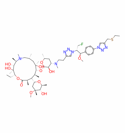 CCSCc1cn(-c2ccc([C@@H](OC)[C@@H](CF)n3cc(CCN(C)[C@H]4C[C@@H](C)O[C@@H](O[C@@H]5[C@@H](C)C([C@H]6C[C@@](C)(OC)[C@@H](O)[C@H](C)O6)[C@@H](C)C(=O)O[C@H](CC)[C@@](C)(O)[C@H](O)[C@@H](C)N(C)C[C@H](C)C[C@@]5(C)O)[C@@H]4O)nn3)cc2)nn1